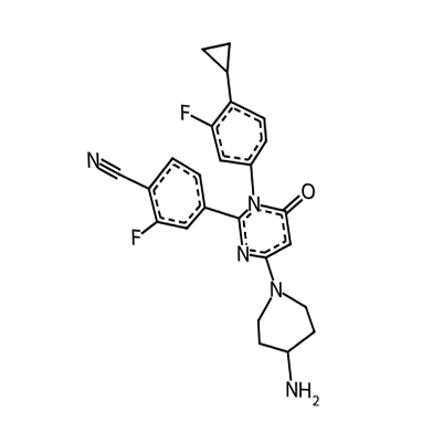 N#Cc1ccc(-c2nc(N3CCC(N)CC3)cc(=O)n2-c2ccc(C3CC3)c(F)c2)cc1F